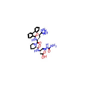 NC(=O)N/N=C/[C@H](CC(=O)O)NC(=O)[C@@H]1CCCCN1C(=O)[C@H](CCc1nnn[nH]1)NC(=O)c1ccccc1-c1ccccc1